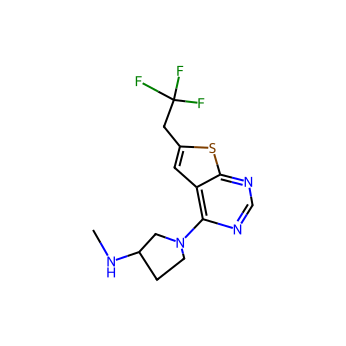 CNC1CCN(c2ncnc3sc(CC(F)(F)F)cc23)C1